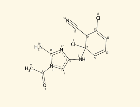 CC(=O)n1nc(NC2(Cl)C=CC=C(Cl)C2C#N)nc1N